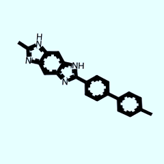 Cc1ccc(-c2ccc(-c3nc4cc5nc(C)[nH]c5cc4[nH]3)cc2)cc1